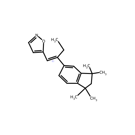 CC/C(=C\c1ccno1)c1ccc2c(c1)C(C)(C)CC2(C)C